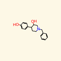 Oc1ccc(C2CCN(Cc3ccccc3)CC2O)cc1